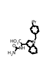 CC(C)c1ccc(Cn2cc(C(NC(N)=O)C(=O)O)c3ccccc32)cc1